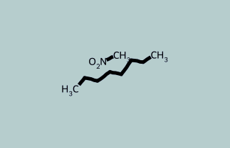 CCCCCCCC.C[N+](=O)[O-]